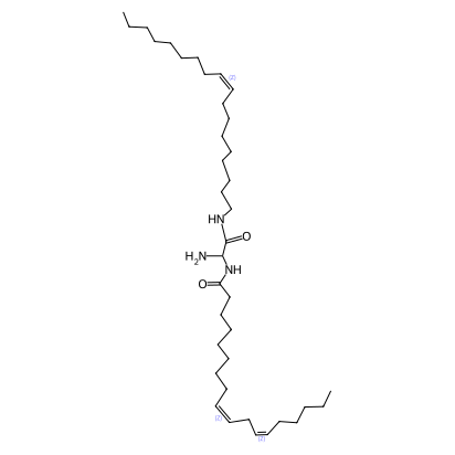 CCCCC/C=C\C/C=C\CCCCCCCC(=O)NC(N)C(=O)NCCCCCCCC/C=C\CCCCCCCC